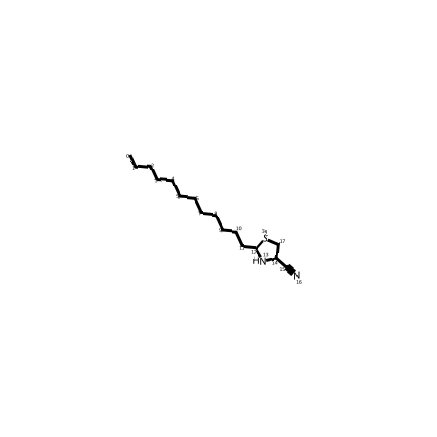 CCCCCCCCCCCCC1NC(C#N)CS1